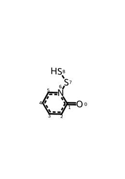 O=c1ccccn1SS